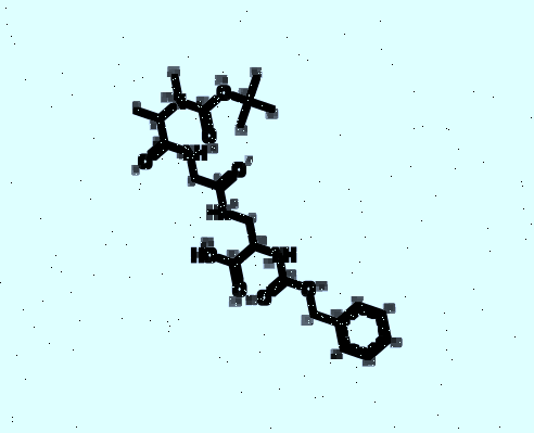 CC(C(=O)NCC(=O)NCC(NC(=O)OCc1ccccc1)C(=O)O)N(C)C(=O)OC(C)(C)C